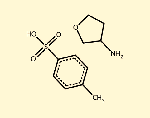 Cc1ccc(S(=O)(=O)O)cc1.NC1CCOC1